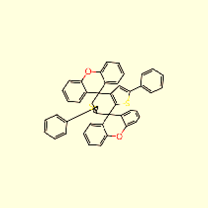 c1ccc(-c2cc3c(s2)C2(c4ccccc4Oc4ccccc42)c2cc(-c4ccccc4)sc2C32c3ccccc3Oc3ccccc32)cc1